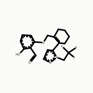 O=Cc1c(O)cccc1OCC1=C(c2ccnn2CC(F)(F)F)CCCC1